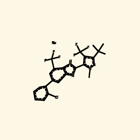 Cn1nc(C(C)(C)C)c(C(F)(F)F)c1-c1nc2cc(-c3ccccc3Cl)cc(C(F)(F)F)c2[nH]1.[Na]